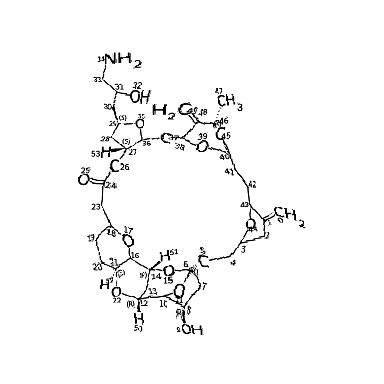 C=C1CC2CC[C@]34C[C@@H](O)C(O3)[C@H]3C[C@@H](O4)C4OC(CC[C@@H]4O3)CC(=O)C[C@@H]3C[C@@H](CC(O)CN)OC3CC3OC(CCC1O2)C[C@@H](C)C3=C